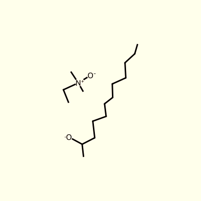 CCCCCCCCCCC(C)[O].CC[N+](C)(C)[O-]